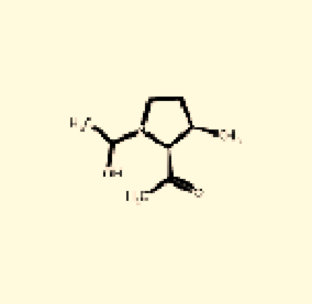 CC(=O)[C@@H]1[C@H](C)CCN1C(C)O